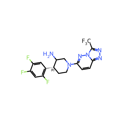 NC1CN(c2ccc3nnc(C(F)(F)F)n3n2)CC[C@@H]1c1cc(F)c(F)cc1F